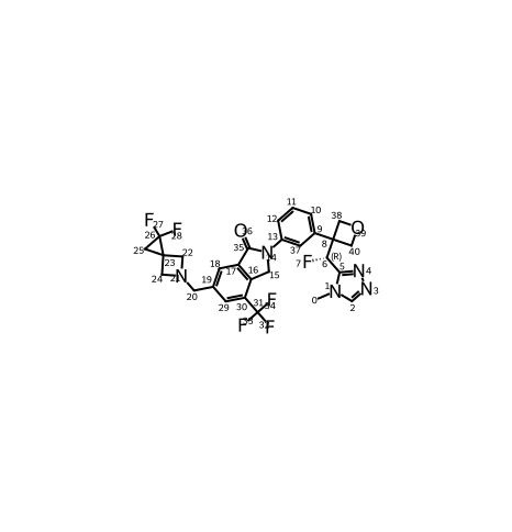 Cn1cnnc1[C@H](F)C1(c2cccc(N3Cc4c(cc(CN5CC6(C5)CC6(F)F)cc4C(F)(F)F)C3=O)c2)COC1